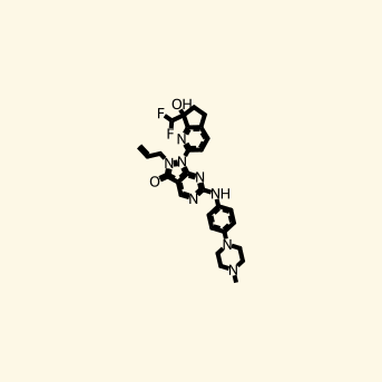 C=CCn1c(=O)c2cnc(Nc3ccc(N4CCN(C)CC4)cc3)nc2n1-c1ccc2c(n1)C(O)(C(F)F)CC2